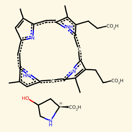 CC1=Cc2cc3[nH]c(cc4nc(cc5[nH]c(cc1n2)c(C)c5CCC(=O)O)C(CCC(=O)O)=C4C)cc3C.O=C(O)[C@@H]1CC(O)CN1